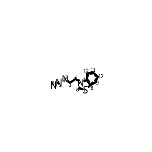 [N-]=[N+]=NCCN1CSc2ccccc21